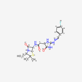 CC1(C)SC2C(NC(=O)CC3N/C(=N\N=C\c4ccc(F)cc4)NC3=O)C(=O)N2C1C(=O)O